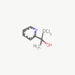 CC(O)(c1ccccn1)C(Cl)(Cl)Cl